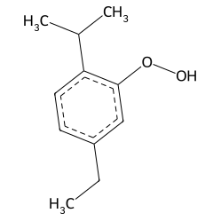 CCc1ccc(C(C)C)c(OO)c1